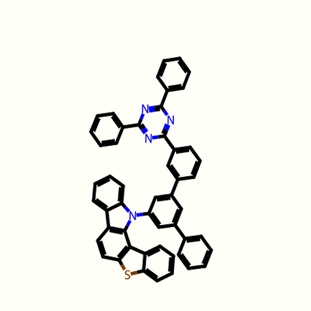 c1ccc(-c2cc(-c3cccc(-c4nc(-c5ccccc5)nc(-c5ccccc5)n4)c3)cc(-n3c4ccccc4c4ccc5sc6ccccc6c5c43)c2)cc1